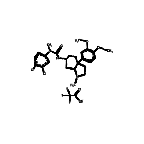 COc1ccc(C23CCC(NC(=O)N(C)c4ccc(Cl)c(Cl)c4)CC2N(C)CC3)cc1OC.O=C(O)C(F)(F)F